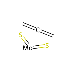 C=C=C.[S]=[Mo]=[S]